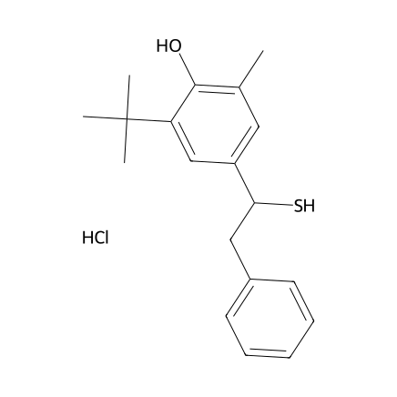 Cc1cc(C(S)Cc2ccccc2)cc(C(C)(C)C)c1O.Cl